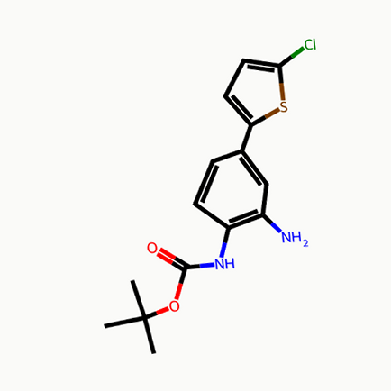 CC(C)(C)OC(=O)Nc1ccc(-c2ccc(Cl)s2)cc1N